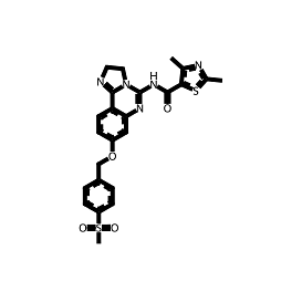 Cc1nc(C)c(C(=O)NC2=Nc3cc(OCc4ccc(S(C)(=O)=O)cc4)ccc3C3=NCCN23)s1